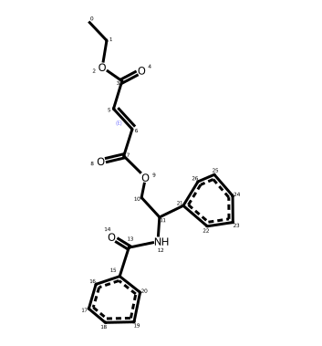 CCOC(=O)/C=C/C(=O)OCC(NC(=O)c1ccccc1)c1ccccc1